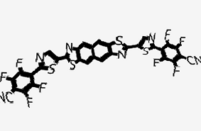 N#Cc1c(F)c(F)c(-c2ncc(-c3nc4cc5cc6sc(-c7cnc(-c8c(F)c(F)c(C#N)c(F)c8F)s7)nc6cc5cc4s3)s2)c(F)c1F